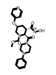 COC(=O)N1C[C@@H](Oc2ccncc2)C[C@H](C(=O)NO)[C@H]1C(=O)N1CCN(c2ccccc2)CC1